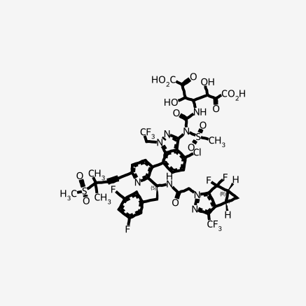 CC(C)(C#Cc1ccc(-c2ccc(Cl)c3c(N(C(=O)NC(C(O)C(=O)C(=O)O)C(O)C(=O)C(=O)O)S(C)(=O)=O)nn(CC(F)(F)F)c23)c([C@H](Cc2cc(F)cc(F)c2)NC(=O)Cn2nc(C(F)(F)F)c3c2C(F)(F)[C@@H]2C[C@H]32)n1)S(C)(=O)=O